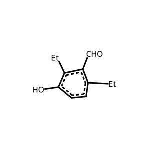 CCc1ccc(O)c(CC)c1C=O